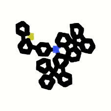 c1ccc(C2(c3ccccc3)c3ccccc3-c3ccc(N(c4ccc(-c5cccc6c5sc5ccccc56)cc4)c4cccc5c4-c4ccccc4C54c5ccccc5-c5ccccc54)cc32)cc1